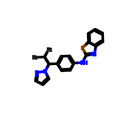 CCC(CC)C(c1ccc(Nc2nc3ccccc3s2)cc1)n1cccn1